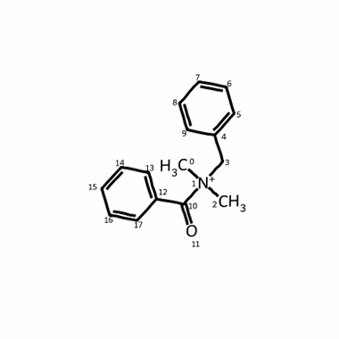 C[N+](C)(Cc1ccccc1)C(=O)c1ccccc1